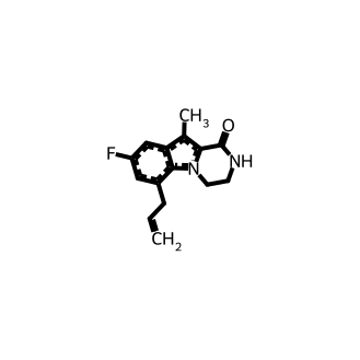 C=CCc1cc(F)cc2c(C)c3n(c12)CCNC3=O